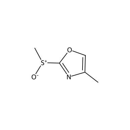 Cc1coc([S+](C)[O-])n1